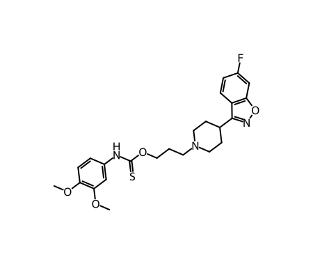 COc1ccc(NC(=S)OCCCN2CCC(c3noc4cc(F)ccc34)CC2)cc1OC